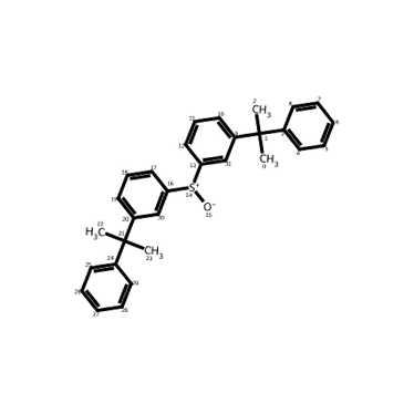 CC(C)(c1ccccc1)c1cccc([S+]([O-])c2cccc(C(C)(C)c3ccccc3)c2)c1